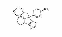 Nc1ccc(C2(CC3CCOCC3)c3ccccc3-c3nccn32)cc1